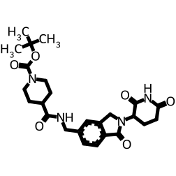 CC(C)(C)OC(=O)N1CCC(C(=O)NCc2ccc3c(c2)CN(C2CCC(=O)NC2=O)C3=O)CC1